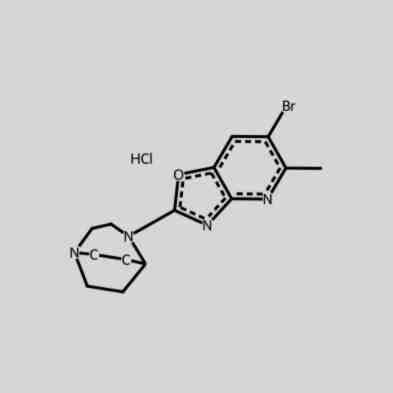 Cc1nc2nc(N3CCN4CCC3CC4)oc2cc1Br.Cl